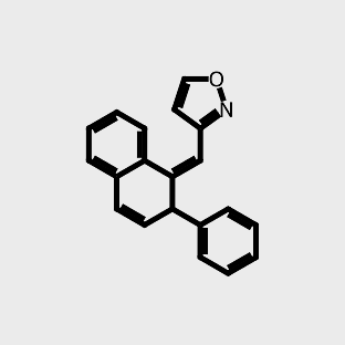 C1=CC(c2ccccc2)C(=Cc2ccon2)c2ccccc21